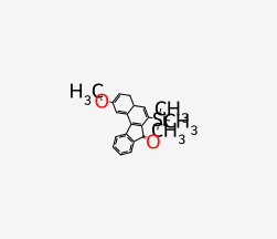 COC1=CCC2C=C([Si](C)(C)C)C3=C(C2=C1)c1ccccc1C3=O